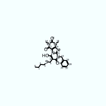 CCCCSCc1c(O)n2c3c(=O)n(C)c(=O)n(C)c3nc2n(Cc2ccccc2)c1=O